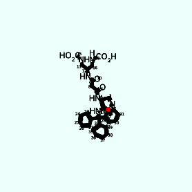 Cn1ncc(NC(=O)CC(=O)NC(CNC(=O)O)CNC(=O)O)c1NC(c1ccccc1)(c1ccccc1)c1ccccc1